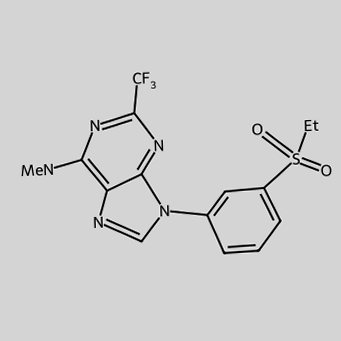 CCS(=O)(=O)c1cccc(-n2cnc3c(NC)nc(C(F)(F)F)nc32)c1